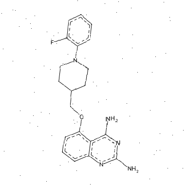 Nc1nc(N)c2c(OCC3CCN(c4ccccc4F)CC3)cccc2n1